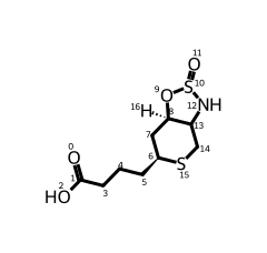 O=C(O)CCC[C@H]1C[C@H]2OS(=O)NC2CS1